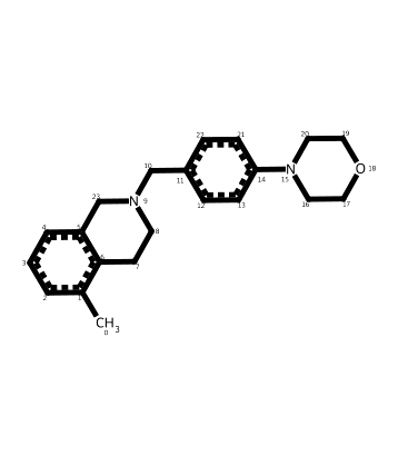 Cc1cccc2c1CCN(Cc1ccc(N3CCOCC3)cc1)C2